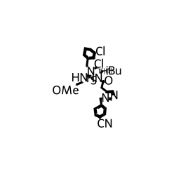 CC[C@H](C)[C@@H](CN(Cc1cccc(Cl)c1Cl)C(=S)NCCOC)NC(=O)Cc1cncn1Cc1ccc(C#N)cc1